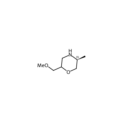 COCC1CN[C@@H](C)CO1